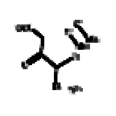 CCC(CC)C(=O)CC(=O)[O-].CCCC[O-].CCCC[O-].[Ti+3]